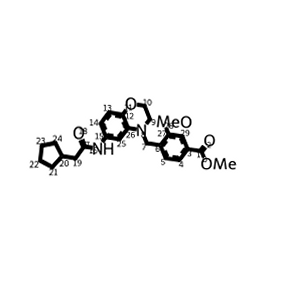 COC(=O)c1ccc(CN2CCOc3ccc(NC(=O)CC4CCCC4)cc32)c(OC)c1